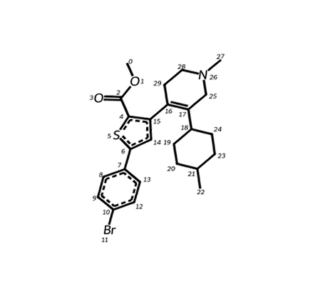 COC(=O)c1sc(-c2ccc(Br)cc2)cc1C1=C(C2CCC(C)CC2)CN(C)CC1